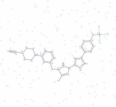 CC1=CN(c2nc(-c3ccc(OC(F)(F)F)cc3)no2)NN1Cc1ccnc(N2CCC(C#N)CC2)c1